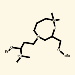 CCCCOCC1CN(CCC(OCC)[SiH](C)C)CCC[Si](C)(C)O1